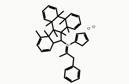 CC1=CC=CC2[CH](/[Zr+2]([C]3=CC=CC3)=[C](\C)Cc3ccccc3)C3(C)C4(C)C=CC=CC4(C)C4(C)C=CC=CC4(C)C3(C)C12C.[Cl-].[Cl-]